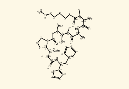 CC[C@H](C)[C@@H]([C@@H](CC(=O)N1CCC[C@H]1[C@H](OC)[C@@H](C)C(=O)N[C@@H](Cc1ccccc1)c1nccs1)OC)N(C)C(=O)[C@@H](NC(=O)[C@H](C(C)C)N(C)C(=O)CCCCCON)C(C)C